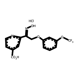 Cl.O=C(O)c1ccnc(/C(COc2cccc(OC(F)(F)F)c2)=N/O)c1